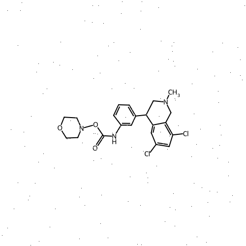 CN1Cc2c(Cl)cc(Cl)cc2C(c2cccc(NC(=O)ON3CCOCC3)c2)C1